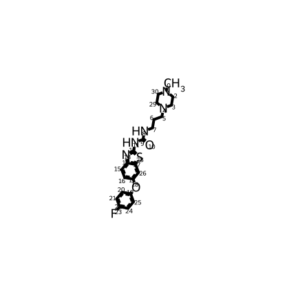 CN1CCN(CCCNC(=O)Nc2nc3ccc(Oc4ccc(F)cc4)cc3s2)CC1